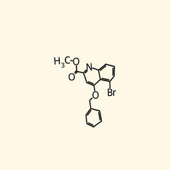 COC(=O)c1cc(OCc2ccccc2)c2c(Br)cccc2n1